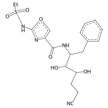 CCS(=O)(=O)Nc1nc(C(=O)NC(Cc2ccccc2)C(O)C(O)CCC#N)co1